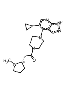 CN1CCC[C@H]1CC(=O)N1CCN(c2c(C3CC3)cnc3[nH]ncc23)CC1